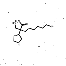 CC(C)CCCCCCC(CO)(C(N)=O)C1CCNC1